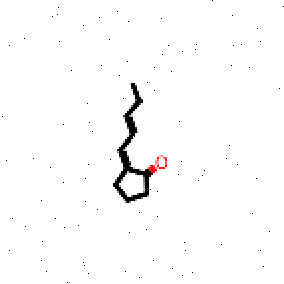 CCC=CC=C1CCCC1=O